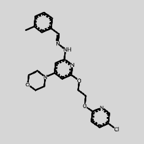 Cc1cccc(C=NNc2cc(N3CCOCC3)cc(OCCOc3ccc(Cl)cn3)n2)c1